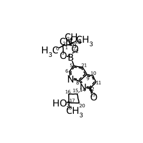 CC1(C)OB(c2cnc3c(ccc(=O)n3[C@H]3C[C@@](C)(O)C3)c2)OC1(C)C